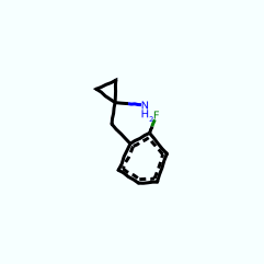 NC1(Cc2ccccc2F)CC1